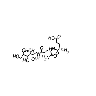 C[C@H](CCC(=O)O)C(=O)N[C@@H](CCC(=O)NC[C@H](O)[C@@H](O)[C@H](O)[C@H](O)CO)C(N)=O